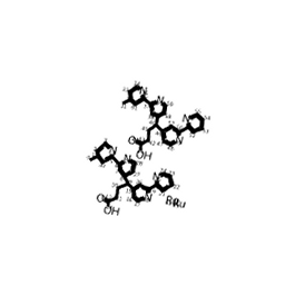 Cc1ccnc(-c2cc(C(CCC(=O)O)c3ccnc(-c4ccccn4)c3)ccn2)c1.Cc1ccnc(-c2cc(C(CCC(=O)O)c3ccnc(-c4ccccn4)c3)ccn2)c1.[Ru].[Ru]